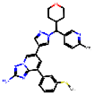 Nc1nc2c(-c3cccc(SC(F)(F)F)c3)cc(-c3cnn(C(c4ccc(C(F)(F)F)nc4)C4CCOCC4)c3)cn2n1